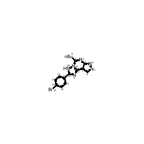 CCCCc1nc2nncc-2c2nc(-c3ccc(Br)cc3)[nH]n12